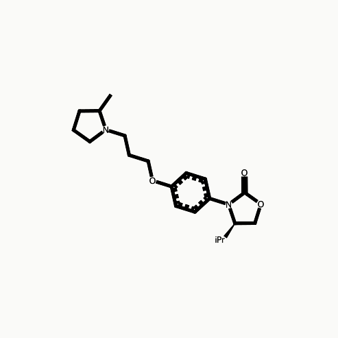 CC(C)[C@@H]1COC(=O)N1c1ccc(OCCCN2CCCC2C)cc1